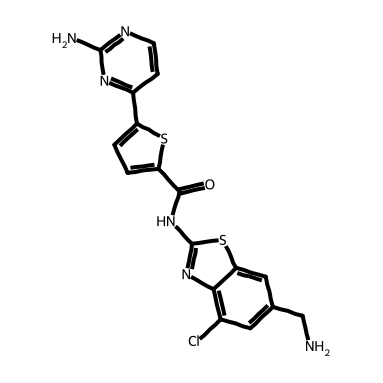 NCc1cc(Cl)c2nc(NC(=O)c3ccc(-c4ccnc(N)n4)s3)sc2c1